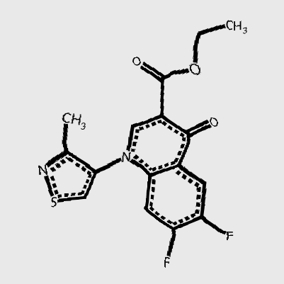 CCOC(=O)c1cn(-c2csnc2C)c2cc(F)c(F)cc2c1=O